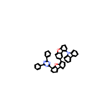 c1ccc(-c2nc(-c3ccccc3)nc(-c3cccc4c3oc3c(-c5ccc6oc7cccc(-n8c9ccccc9c9ccccc98)c7c6c5)cccc34)n2)cc1